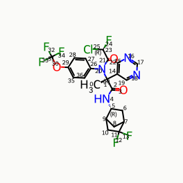 C[C@](C(=O)N[C@@H]1CC2CC1CC2(F)F)(c1cncnc1)N(C(=O)[C@H](F)Cl)c1ccc(OC(F)(F)F)cc1